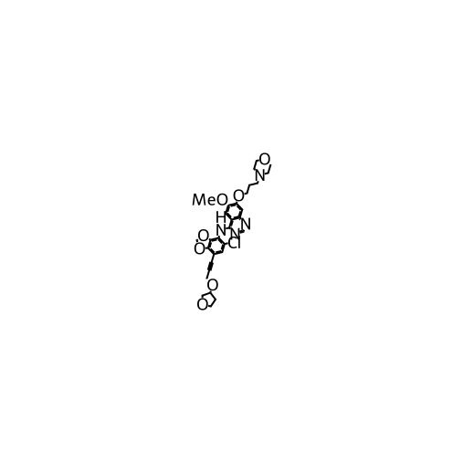 COc1cc2c(Nc3c(Cl)cc(C#CCOC4CCOC4)c4c3OCO4)ncnc2cc1OCCCN1CCOCC1